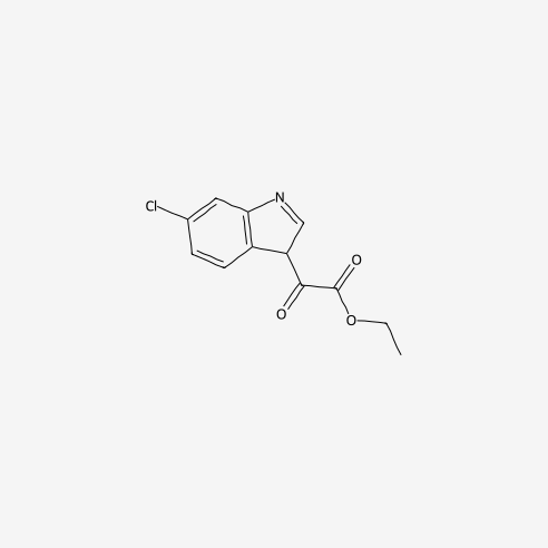 CCOC(=O)C(=O)C1C=Nc2cc(Cl)ccc21